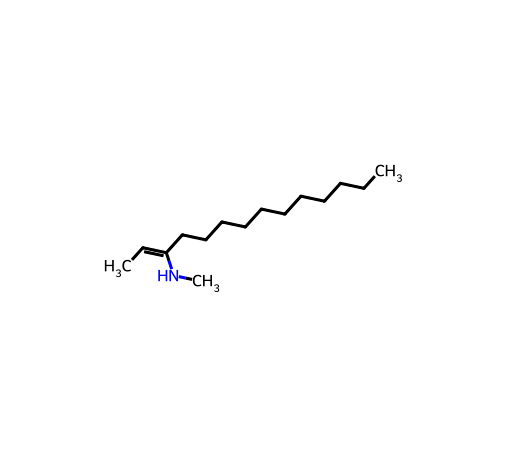 C/C=C(/CCCCCCCCCCC)NC